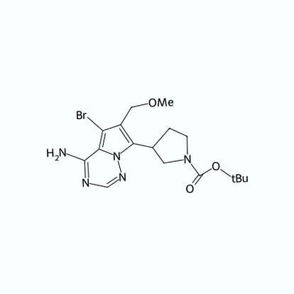 COCc1c(Br)c2c(N)ncnn2c1C1CCN(C(=O)OC(C)(C)C)C1